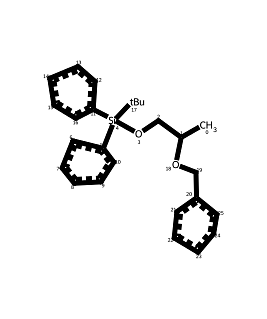 CC(CO[Si](c1ccccc1)(c1ccccc1)C(C)(C)C)OCc1ccccc1